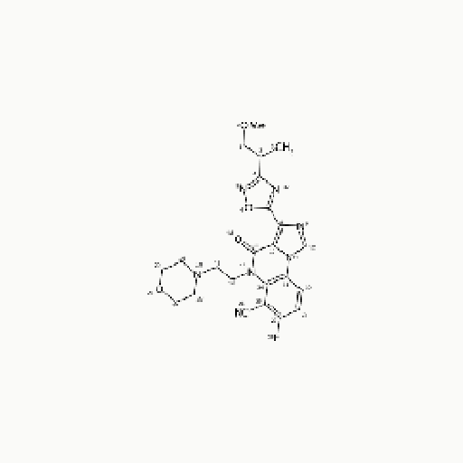 COCC(C)c1noc(-c2ncn3c2c(=O)n(CCN2CCOCC2)c2c(C#N)c(F)ccc23)n1